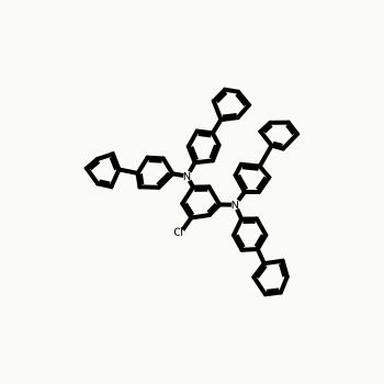 Clc1cc(N(c2ccc(-c3ccccc3)cc2)c2ccc(-c3ccccc3)cc2)cc(N(c2ccc(-c3ccccc3)cc2)c2ccc(-c3ccccc3)cc2)c1